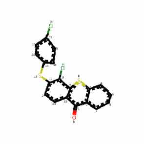 O=c1c2ccccc2sc2c(Cl)c(Sc3ccc(Cl)cc3)ccc12